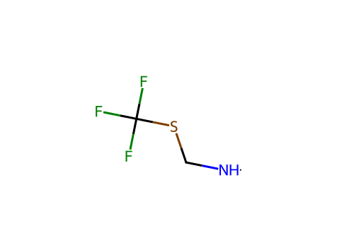 [NH]CSC(F)(F)F